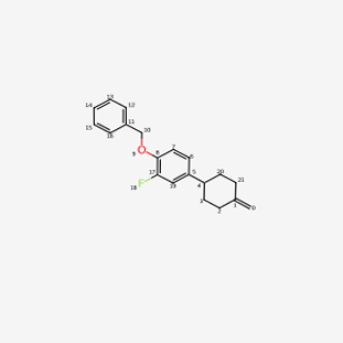 C=C1CCC(c2ccc(OCc3ccccc3)c(F)c2)CC1